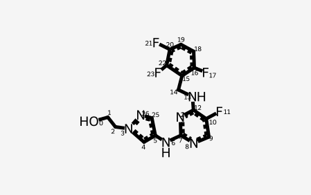 OCCn1cc(Nc2ncc(F)c(NCc3c(F)ccc(F)c3F)n2)cn1